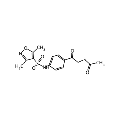 CC(=O)SCC(=O)c1ccc(NS(=O)(=O)c2c(C)noc2C)cc1